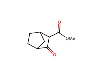 COC(=O)C1C(=O)C2CCC1C2